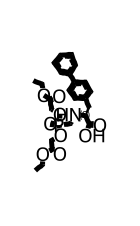 CCOC(=O)COP(=O)(CN[C@@H](Cc1ccc(-c2ccccc2)cc1)C(=O)O)OCC(=O)OCC